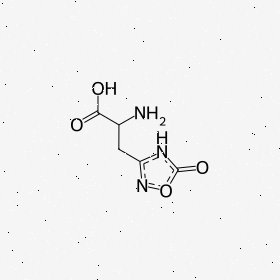 NC(Cc1noc(=O)[nH]1)C(=O)O